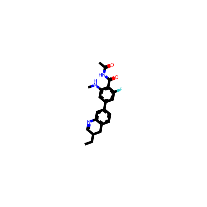 CCC1C=Nc2cc(-c3cc(F)c(C(=O)NC(C)=O)c(NC)c3)ccc2C1